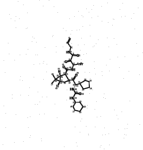 C=CCNC(=O)C(=O)C(CCC)NC(=O)[C@@H]1[C@@H]2[C@H](CN1C(=O)[C@@H](NC(=O)NC1CCCCC1)C1CCCC1)C2(C)C